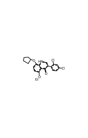 CCOc1ccc(OC2CCCC2)c2[nH]cc(-c3ccc(Cl)cc3Cl)c(=O)c12